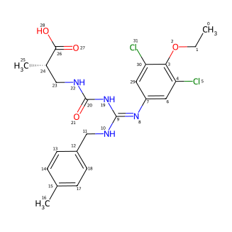 CCOc1c(Cl)cc(/N=C(/NCc2ccc(C)cc2)NC(=O)NC[C@H](C)C(=O)O)cc1Cl